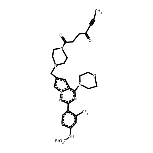 CC#CC(=O)CCC(=O)N1CCN(Cc2cc3c(N4CCOCC4)nc(-c4cnc(NC(=O)OCC)cc4C(F)(F)F)nn3c2)CC1